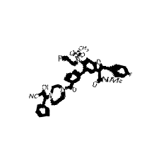 CNC(=O)c1c(-c2ccc(F)cc2)oc2cc(N(CCF)S(C)(=O)=O)c(-c3cccc(C(=O)N4CCN(C(=C(C#N)C#N)c5ccccc5)CC4)c3)cc12